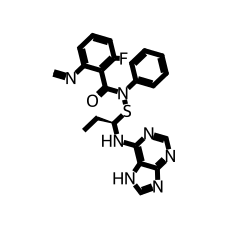 C=Nc1cccc(F)c1C(=O)N(S[C@H](CC)Nc1ncnc2nc[nH]c12)c1ccccc1